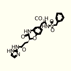 O=C(CC[C@H]1Oc2ccc(C[C@H](NS(=O)(=O)Cc3ccccc3)C(=O)O)cc2NC1=O)Nc1ncc[nH]1